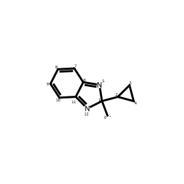 [CH2]C1(C2CC2)N=c2ccccc2=N1